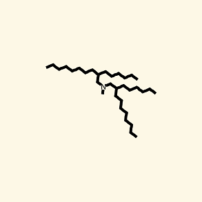 CCCCCCCCC(CCCCCC)CN(C)CC(CCCCCC)CCCCCCCC